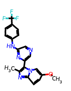 COc1ccc2nc(C)c(-c3cncc(Nc4ccc(C(F)(F)F)cc4)n3)n2c1